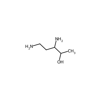 CC(O)C(N)CCN